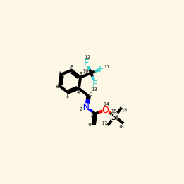 C=C(/N=C/c1ccccc1C(F)(F)F)O[Si](C)(C)C